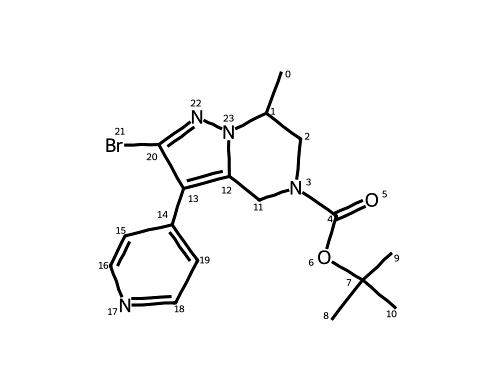 CC1CN(C(=O)OC(C)(C)C)Cc2c(-c3ccncc3)c(Br)nn21